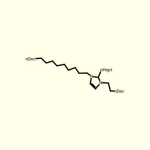 CCCCCCCCCCCCCCCCCCCN1C=CN(CCCCCCCCCCCC)C1CCCCCCC